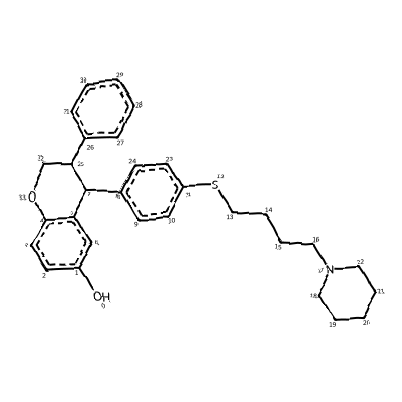 Oc1ccc2c(c1)C(c1ccc(SCCCCN3CCCCC3)cc1)C(c1ccccc1)CO2